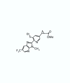 CCSc1cc(C2CC2C(=O)OC)cnc1-c1nc2cc(C(F)(F)F)cnc2n1C